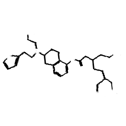 CCCC(CCC(CC)CC)CC(=O)Oc1cccc2c1CCC(N(CCC)CCc1cccs1)C2